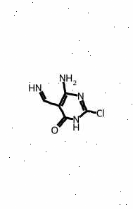 N=Cc1c(N)nc(Cl)[nH]c1=O